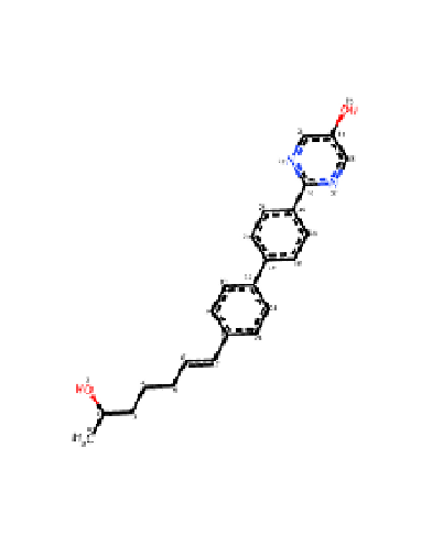 CC(O)CCCC=Cc1ccc(-c2ccc(-c3ncc(O)cn3)cc2)cc1